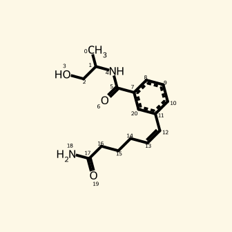 CC(CO)NC(=O)c1cccc(/C=C\CCCC(N)=O)c1